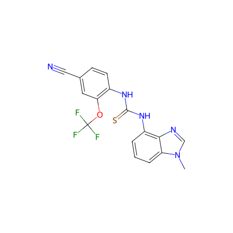 Cn1cnc2c(NC(=S)Nc3ccc(C#N)cc3OC(F)(F)F)cccc21